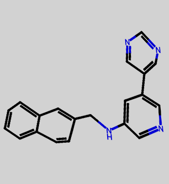 c1ccc2cc(CNc3cncc(-c4cncnc4)c3)ccc2c1